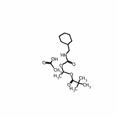 CC(=O)O.CC(OC(=O)NCC1CCCCC1)OC(=O)C(C)(C)C